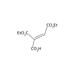 CCOC(=O)/C=C(/C(=O)O)C(=O)OCC